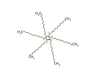 CCCCCCCCCCCCSc1c(SCCCCCCCCCCCC)c(SCCCCCCCCCCCC)c(SCCCCCCCCCCCC)c(SCCCCCCCCCCCC)c1SCCCCCCCCCCCC